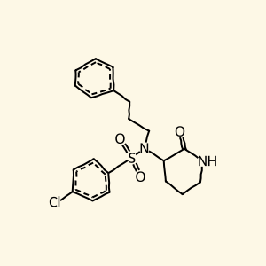 O=C1NCCCC1N(CCCc1ccccc1)S(=O)(=O)c1ccc(Cl)cc1